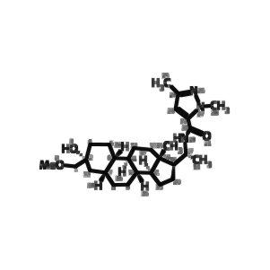 COC[C@@]1(O)CC[C@H]2[C@H](CC[C@@H]3[C@@H]2CC[C@]2(C)[C@@H]([C@@H](C)NC(=O)c4cc(C)nn4C)CC[C@@H]32)C1